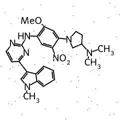 COc1cc(N2CCC(N(C)C)C2)c([N+](=O)[O-])cc1Nc1nccc(-c2cn(C)c3ccccc23)n1